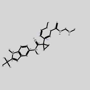 C=C(C/C=C(\C=C/CC)C1(C(=O)N(C)c2ccc3c(c2)cc(C(C)(C)C)n3C)CC1)OCOC